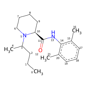 CCCC(C)N1CCCC[C@H]1C(=O)Nc1c(C)cccc1C